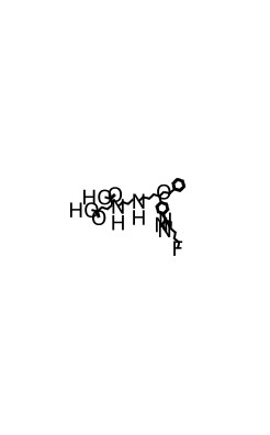 O=C(O)CCC(NCCCNCCCC(OCc1ccccc1)c1ccc(-n2cc(CCCF)nn2)cc1)C(=O)O